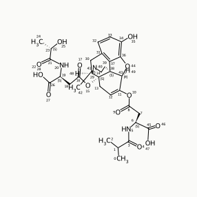 CC(C)C(=O)N[C@@H](CC(=O)OC1=CC[C@@]2(OC(=O)C[C@H](NC(=O)[C@H](C)O)C(=O)O)[C@H]3Cc4ccc(O)c5c4[C@@]2(CCN3C)[C@H]1O5)C(=O)O